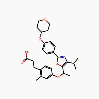 Cc1cc(OC(C)c2oc(-c3ccc(OC4CCOCC4)cc3)nc2C(C)C)ccc1CCC(=O)O